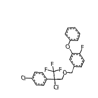 Fc1ccc(COCC(Cl)(c2ccc(Cl)cc2)C(F)(F)F)cc1Oc1ccccc1